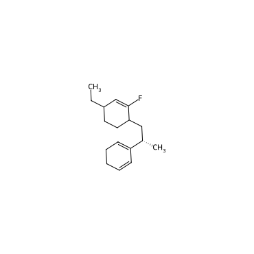 CCC1C=C(F)C(C[C@H](C)C2=CCCC=C2)CC1